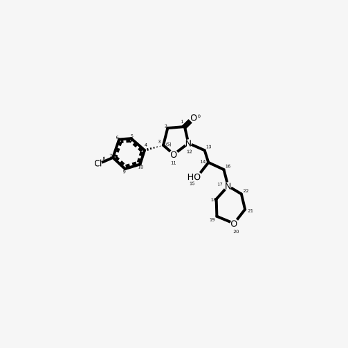 O=C1C[C@@H](c2ccc(Cl)cc2)ON1CC(O)CN1CCOCC1